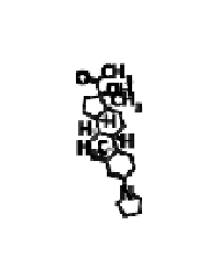 CC(=O)[C@@]1(O)CC[C@H]2[C@@H]3CC=C4C=C(N5CCCC5)CC[C@]4(C)[C@H]3CC[C@@]21C